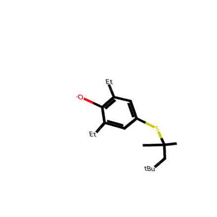 CCc1cc(SC(C)(C)CC(C)(C)C)cc(CC)c1[O]